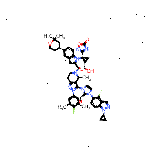 Cc1cc(-n2nc3c(c2N2C=CN(c4ccc5c(cnn5C5CC5)c4F)C2=C=O)[C@H](C)N(C(=O)c2cc4cc([C@H]5CCOC(C)(C)C5)ccc4n2[C@@]2(c4noc(=O)[nH]4)C[C@@H]2CO)CC3)cc(C)c1F